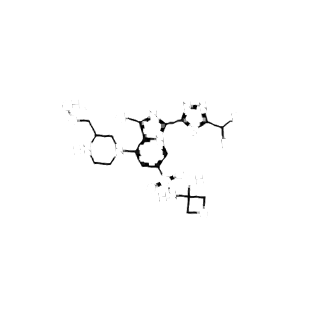 COCC1CN(c2cc(S(=O)(=O)NC3(C)COC3)cn3c(-c4nnc(C(F)F)s4)nc(Cl)c23)CCN1